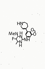 CNC1NC(Nc2cc3c(c(C4=CCNCCC4)c2)OCO3)NC(C)C1F